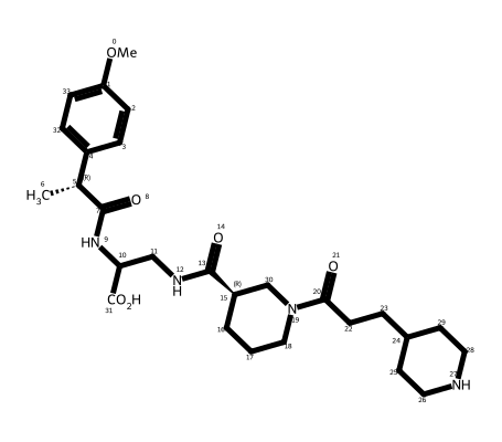 COc1ccc([C@@H](C)C(=O)NC(CNC(=O)[C@@H]2CCCN(C(=O)CCC3CCNCC3)C2)C(=O)O)cc1